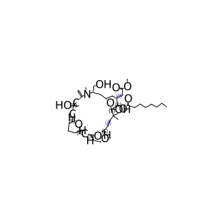 C=C1C[C@H](O)C[C@@H]2CCC[C@H](C[C@@H]3CCO[C@H](/C=C/C(C)(C)[C@]4(O)OC(C/C(=C\C(=O)OC)[C@@H]4OC(=O)CCCCCCC)CC(CO)N1C)O3)O2